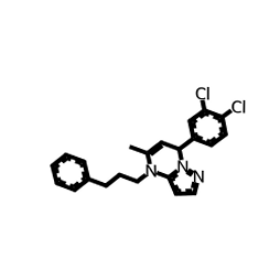 CC1=CC(c2ccc(Cl)c(Cl)c2)n2nccc2N1CCCc1ccccc1